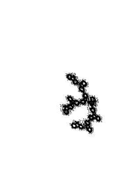 CC1(C)c2ccccc2-c2ccc(-n3c4ccccc4c4cc(-c5ccc6c(c5)c5ccccc5n6-c5ccc(-c6nc(-n7c8ccc(-c9ccc%10c(c9)c9ccccc9n%10-c9ccc%10c(c9)C(C)(C)c9ccccc9-%10)cc8c8cc(-c9ccc%10c(c9)c9ccccc9n%10-c9ccc%10c(c9)C(C)(C)c9ccccc9-%10)ccc87)c7ccccc7n6)cc5)ccc43)cc21